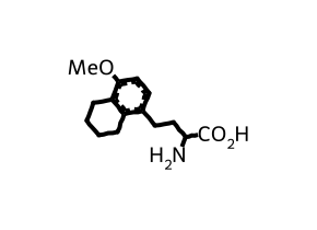 COc1ccc(CCC(N)C(=O)O)c2c1CCCC2